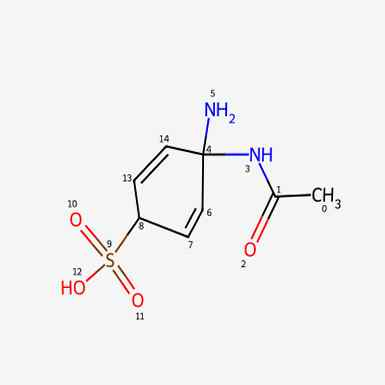 CC(=O)NC1(N)C=CC(S(=O)(=O)O)C=C1